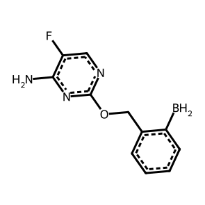 Bc1ccccc1COc1ncc(F)c(N)n1